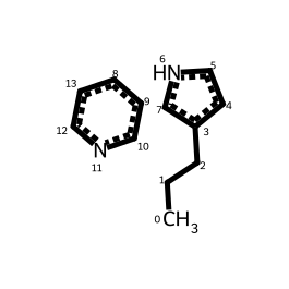 CCCc1cc[nH]c1.c1ccncc1